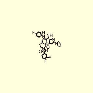 N=CC1=C(Nc2ccc(F)cc2)C=C2CCN(S(=O)(=O)c3ccc(F)c(F)c3)C[C@@]2(C(=O)c2ccnc(N3CCCC3)c2)C1